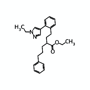 CCOC(=O)C(CCCc1ccccc1)CCc1ccccc1-c1cnn(CC)c1